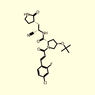 CC(C)(C)O[C@@H]1C[C@@H](C(=O)N[C@H](C#N)C[C@@H]2CCNC2=O)N(C(=O)/C=C/c2ccc(Cl)cc2F)C1